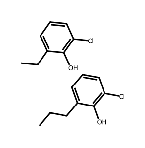 CCCc1cccc(Cl)c1O.CCc1cccc(Cl)c1O